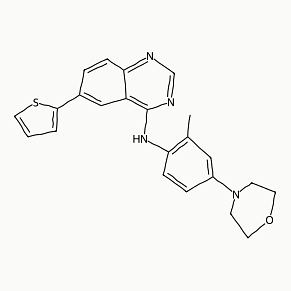 Cc1cc(N2CCOCC2)ccc1Nc1ncnc2ccc(-c3cccs3)cc12